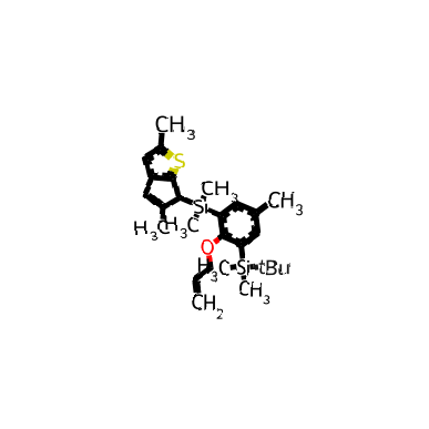 C=CCOc1c([Si](C)(C)C2C(C)=Cc3cc(C)sc32)cc(C)cc1[Si](C)(C)C(C)(C)C